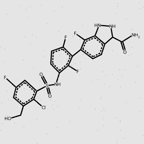 NC(=O)C1NNc2c1ccc(-c1c(F)ccc(NS(=O)(=O)c3cc(F)cc(CO)c3Cl)c1F)c2F